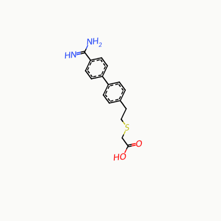 N=C(N)c1ccc(-c2ccc(CCSCC(=O)O)cc2)cc1